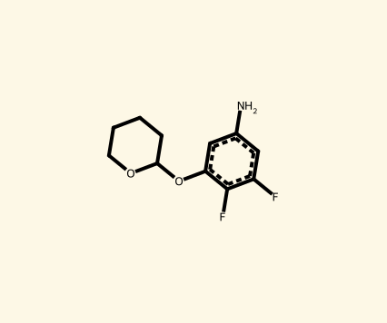 Nc1cc(F)c(F)c(OC2CCCCO2)c1